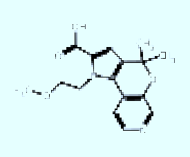 COCCn1c(C(=O)O)cc2c1-c1ccncc1OC2(C)C